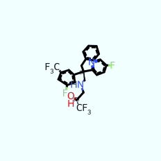 O[C@H](CNC[C@](Cc1ccccc1)(c1cc(F)cc(C(F)(F)F)c1)c1ccc(F)cn1)C(F)(F)F